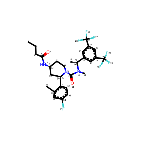 CCCC(=O)N[C@H]1CCN(C(=O)N(C)[C@@H](C)c2cc(C(F)(F)F)cc(C(F)(F)F)c2)[C@@H](c2ccc(F)cc2C)C1